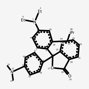 CCN(CC)c1ccc(C2(c3ccc(N(C)C)cc3)OC(=O)c3cccnc32)c(CC(C)C)c1